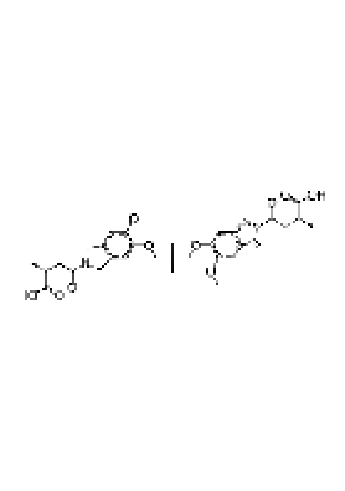 COc1cc2c(cc1OCC(C)(C)COc1cc3cc(C(=O)C[C@H](C)C(=O)O)sc3cc1OC)CN(C(=O)C[C@H](C)C(=O)O)C2